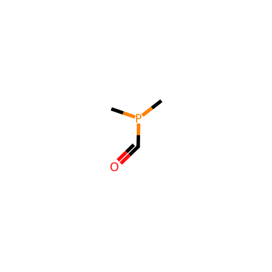 CP(C)C=O